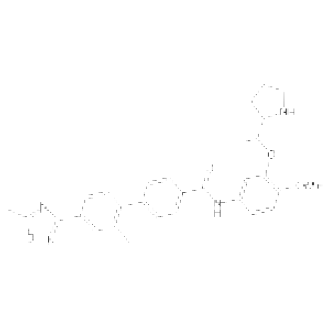 COc1ccc(NC(=O)c2ccc(-c3ccc(-c4noc(C)n4)cc3C)cc2)cc1OC(C)C1CCCN1